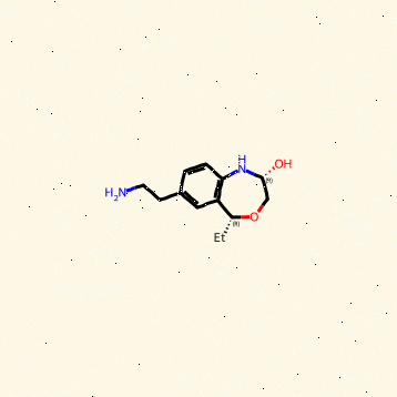 CC[C@H]1OC[C@@H](O)Nc2ccc(CCN)cc21